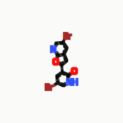 O=c1[nH]cc(Br)cc1-c1cc2cc(Br)cnc2o1